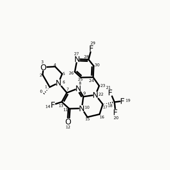 C[C@@H]1COCCN1c1nc2n(c(=O)c1F)CC[C@@H](C(F)(F)F)N2Cc1ccnc(F)c1